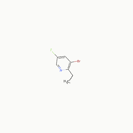 CCc1ncc(F)cc1Br